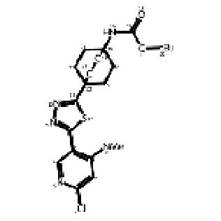 CNc1cc(Cl)ncc1-c1nnc(C23CCC(NC(=O)OC(C)(C)C)(CC2)CC3)s1